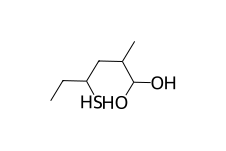 CCC(S)CC(C)C(O)O